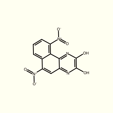 O=[N+]([O-])c1cc2nc(O)c(O)nc2c2c([N+](=O)[O-])cccc12